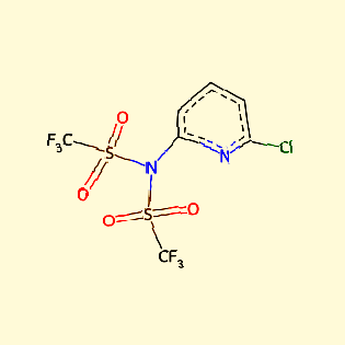 O=S(=O)(N(c1cccc(Cl)n1)S(=O)(=O)C(F)(F)F)C(F)(F)F